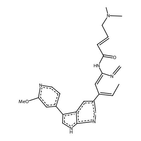 C=N/C(=C\C(=C/C)c1cnc2[nH]cc(-c3ccnc(OC)c3)c2c1)NC(=O)/C=C/CN(C)C